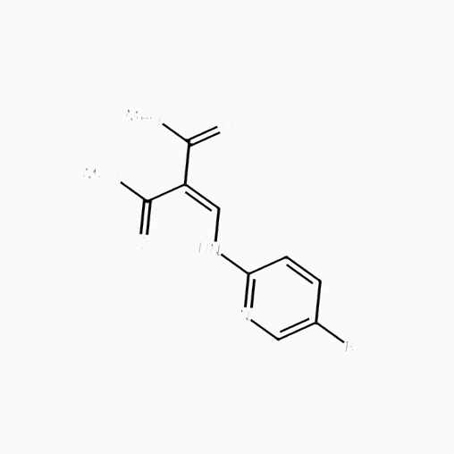 COC(=O)C(=CNc1ccc(Br)cn1)C(=O)OC